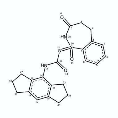 O=C1CCc2ccccc2S(=O)(=NC(=O)Nc2c3c(cc4c2CCC4)CCC3)N1